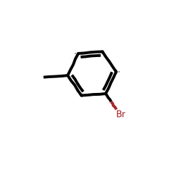 Cc1[c]c[c]c(Br)c1